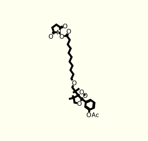 CC(=O)Oc1cccc(C23OCC(C)(C)C2(C(C)(C)COCCCCCCCCCCC(=O)ON2C(=O)CCC2=O)OO3)c1